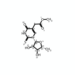 COC(=O)Cc1cn([C@@H]2O[C@H](C)[C@@H](O)[C@H]2O)c(=S)[nH]c1=O